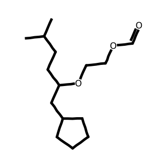 CC(C)CCC(CC1CCCC1)OCCOC=O